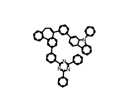 C1=CC2c3ccccc3N(c3ccccc3)C2C=C1c1cccc(C2=CCc3ccccc3-c3cc(-c4cccc(-c5nc(-c6ccccc6)nc(-c6ccccc6)n5)c4)ccc32)c1